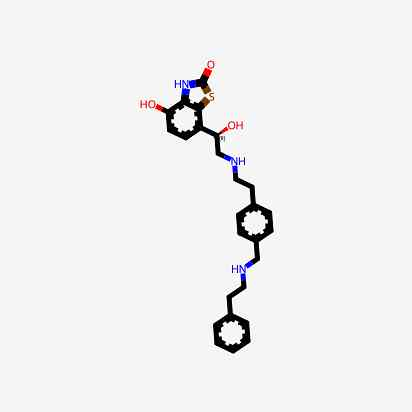 O=c1[nH]c2c(O)ccc([C@@H](O)CNCCc3ccc(CNCCc4ccccc4)cc3)c2s1